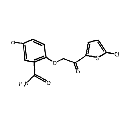 NC(=O)c1cc(Cl)ccc1OCC(=O)c1ccc(Cl)s1